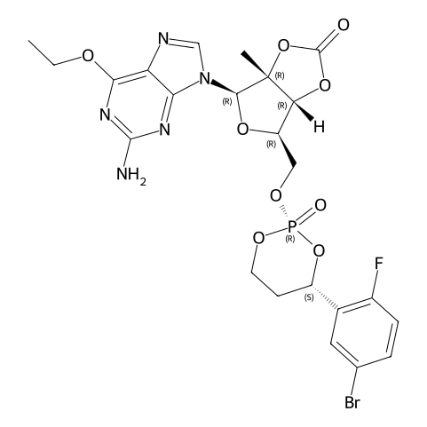 CCOc1nc(N)nc2c1ncn2[C@@H]1O[C@H](CO[P@@]2(=O)OCC[C@@H](c3cc(Br)ccc3F)O2)[C@H]2OC(=O)O[C@]21C